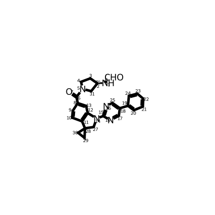 O=CN[C@@H]1CCN(C(=O)c2ccc3c(c2)N(c2ncc(-c4ccccc4)cn2)CC32CC2)C1